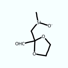 C[S+]([O-])CC1(C=O)OCCO1